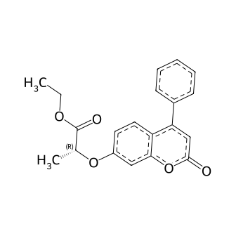 CCOC(=O)[C@@H](C)Oc1ccc2c(-c3ccccc3)cc(=O)oc2c1